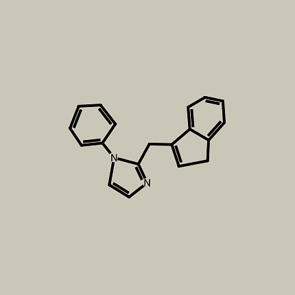 C1=C(Cc2nccn2-c2ccccc2)c2ccccc2C1